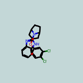 Clc1ccc(OC2CC3CCC(C2)N3c2nc3ccccc3[nH]2)cc1Cl